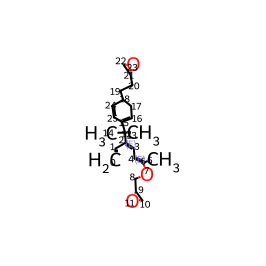 C=C/C(=C\C=C(/C)OCC1CO1)C(C)(C)C1=CCC(CCC2CO2)C=C1